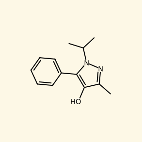 Cc1nn(C(C)C)c(-c2ccccc2)c1O